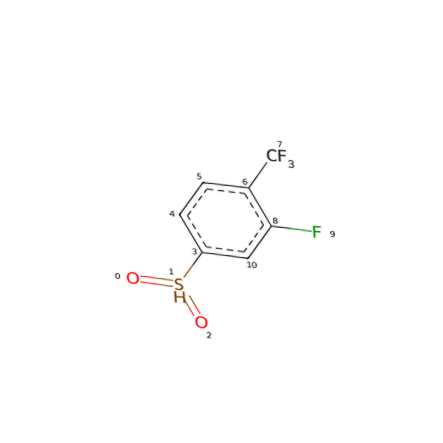 O=[SH](=O)c1ccc(C(F)(F)F)c(F)c1